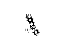 COc1ccc(Cc2nc(N3CCOCC3)n(C)n2)cc1